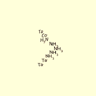 N.N.N.N.N.[Co].[Ta].[Ta].[Ta]